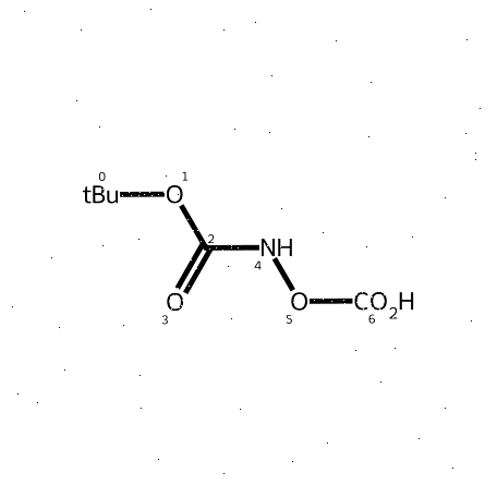 CC(C)(C)OC(=O)NOC(=O)O